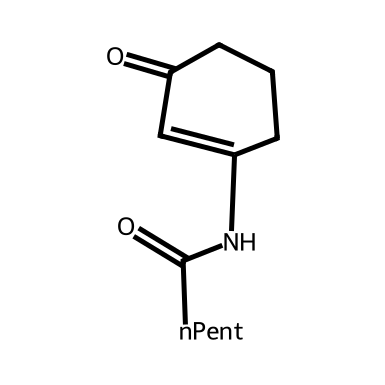 CCCCCC(=O)NC1=CC(=O)CCC1